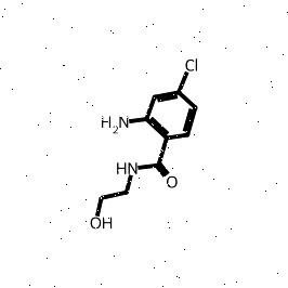 Nc1cc(Cl)ccc1C(=O)NCCO